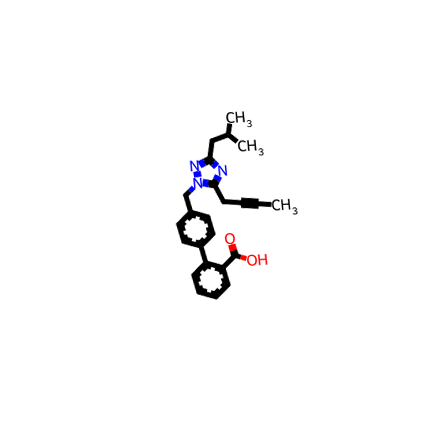 CC#CCc1nc(CC(C)C)nn1Cc1ccc(-c2ccccc2C(=O)O)cc1